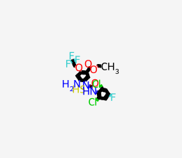 CCOC(=O)c1cc(N(S)C(=O)Nc2c(Cl)cc(F)cc2Cl)c(N)cc1OCC(F)(F)F